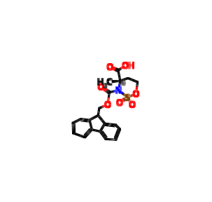 C[C@@]1(C(=O)O)CCOS(=O)(=O)N1C(=O)OCC1c2ccccc2-c2ccccc21